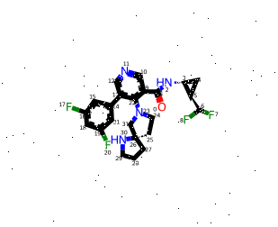 O=C(N[C@@H]1C[C@H]1C(F)F)c1cncc(-c2cc(F)cc(F)c2)c1N1CC[C@@]2(CCCN2)C1